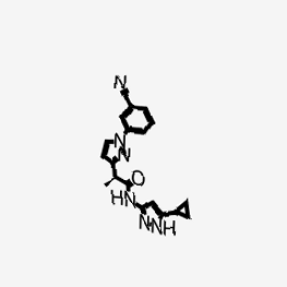 C[C@H](C(=O)Nc1cc(C2CC2)[nH]n1)c1ccn(-c2cccc(C#N)c2)n1